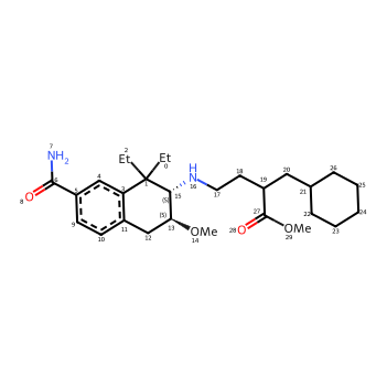 CCC1(CC)c2cc(C(N)=O)ccc2C[C@H](OC)[C@H]1NCCC(CC1CCCCC1)C(=O)OC